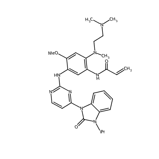 C=CC(=O)Nc1cc(Nc2nccc(-n3c(=O)n(C(C)C)c4ccccc43)n2)c(OC)cc1N(C)CCN(C)C